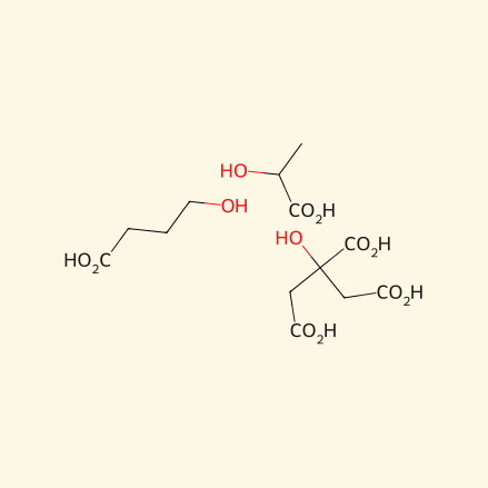 CC(O)C(=O)O.O=C(O)CC(O)(CC(=O)O)C(=O)O.O=C(O)CCCO